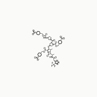 CC(NC(=O)Cn1nnnc1C(F)(F)F)C1C(=O)N2C(C(=O)OCc3ccc([N+](=O)[O-])cc3)=C(S[C@H]3C[C@@H](C(=O)N4CC[C@@H](NC(=O)OCc5ccc([N+](=O)[O-])cc5)C4)N(C(=O)OCc4ccc([N+](=O)[O-])cc4)C3)C(C)C12